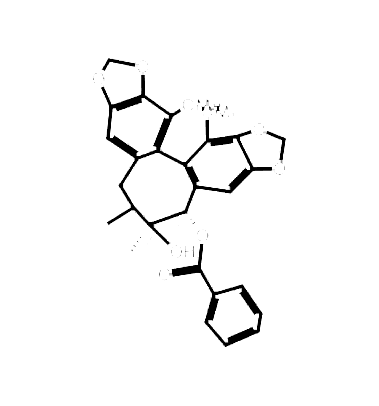 COc1c2c(cc3c1-c1c(cc4c(c1OC)OCO4)[C@H](OC(=O)c1ccccc1)[C@@](C)(O)C(C)C3)OCO2